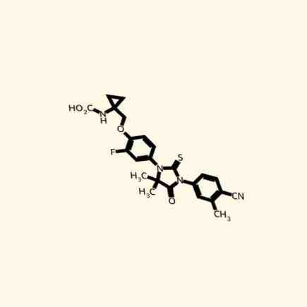 Cc1cc(N2C(=O)C(C)(C)N(c3ccc(OCC4(NC(=O)O)CC4)c(F)c3)C2=S)ccc1C#N